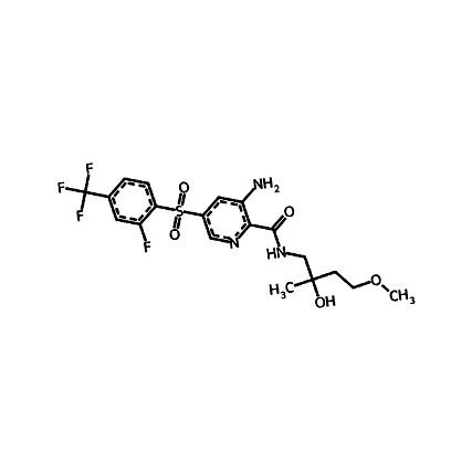 COCCC(C)(O)CNC(=O)c1ncc(S(=O)(=O)c2ccc(C(F)(F)F)cc2F)cc1N